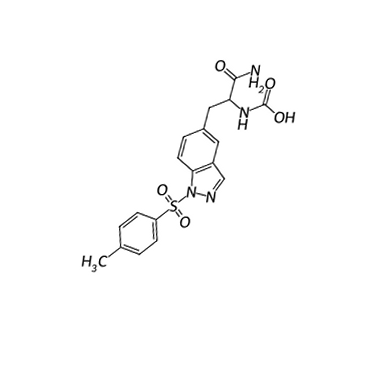 Cc1ccc(S(=O)(=O)n2ncc3cc(CC(NC(=O)O)C(N)=O)ccc32)cc1